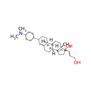 CN(C)c1ccc(C2C=C3CC[C@@H]4[C@H](CC[C@@]5(C)[C@H]4CC[C@@]5(O)C=CCO)[C@H]3CC2)cc1